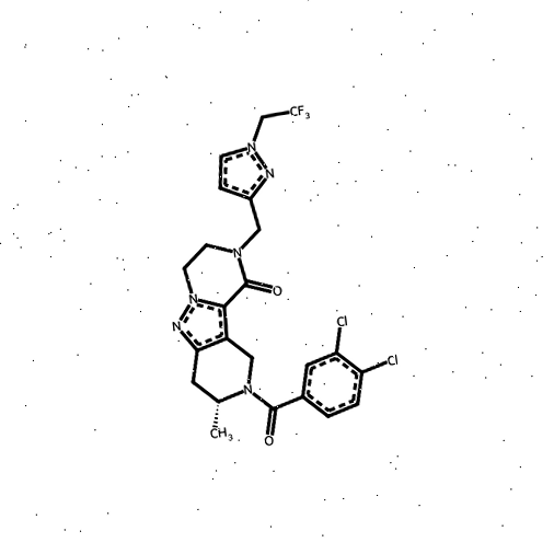 C[C@@H]1Cc2nn3c(c2CN1C(=O)c1ccc(Cl)c(Cl)c1)C(=O)N(Cc1ccn(CC(F)(F)F)n1)CC3